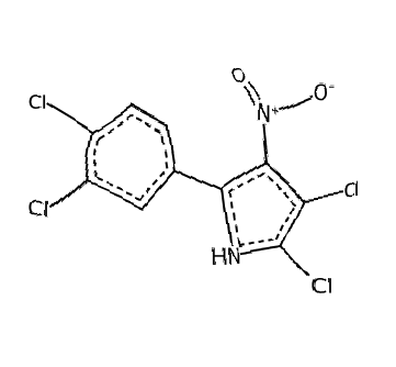 O=[N+]([O-])c1c(-c2ccc(Cl)c(Cl)c2)[nH]c(Cl)c1Cl